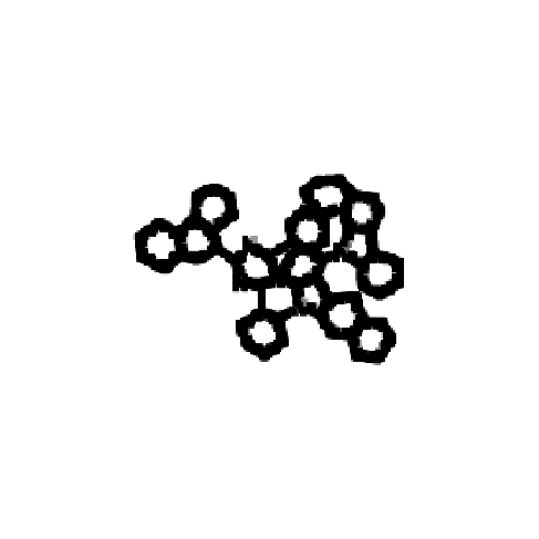 c1ccc(-c2nc(-c3ccccc3-n3c4cc5ccccc5cc4c4c(-n5c6ccccc6c6ccc7ccccc7c65)cccc43)nc(-c3cc4ccccc4c4ccccc34)n2)cc1